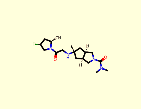 CN(C)C(=O)N1C[C@@H]2C[C@@](C)(NCC(=O)N3C[C@@H](F)C[C@H]3C#N)C[C@@H]2C1